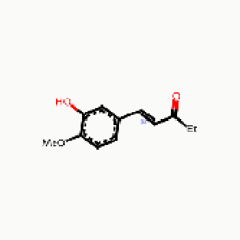 CCC(=O)/C=C/c1ccc(OC)c(O)c1